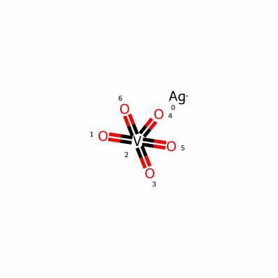 [Ag].[O]=[V](=[O])(=[O])(=[O])=[O]